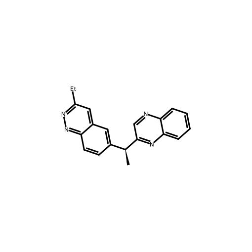 CCc1cc2cc([C@H](C)c3cnc4ccccc4n3)ccc2nn1